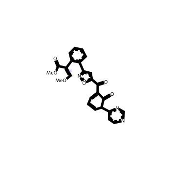 CO/C=C(\C(=O)OC)c1ccccc1-c1cc(C(=O)C2=CC=CC(c3ccncn3)C2=O)on1